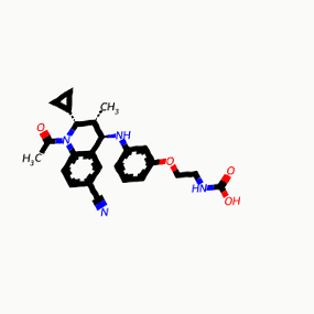 CC(=O)N1c2ccc(C#N)cc2[C@H](Nc2cccc(OCCNC(=O)O)c2)[C@@H](C)[C@H]1C1CC1